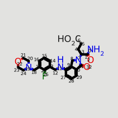 NC(=O)C(CCC(=O)O)N1Cc2c(NCc3cccc(CN4CCOCC4)c3F)cccc2C1=O